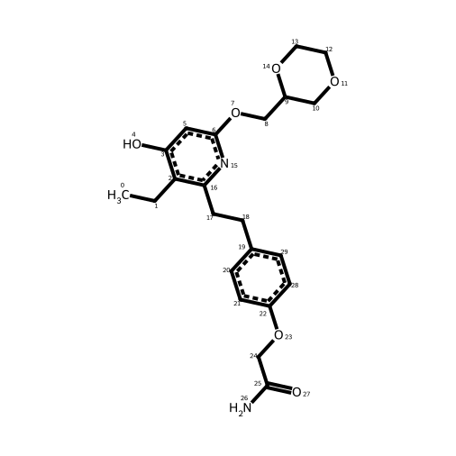 CCc1c(O)cc(OCC2COCCO2)nc1CCc1ccc(OCC(N)=O)cc1